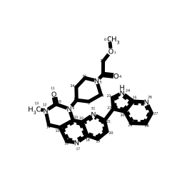 COCC(=O)N1CCC(N2C(=O)N(C)Cc3cnc4ccc(-c5c[nH]c6ncccc56)nc4c32)CC1